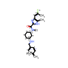 C=C(C)/C=C\C(=C/C)CN[C@@H]1CCC[C@H](N(CC)C(=O)c2nc(/C=C(\C)F)c(C)[nH]2)C1